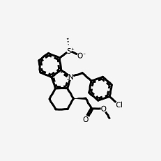 COC(=O)C[C@H]1CCCc2c1n(Cc1ccc(Cl)cc1)c1c([S@+](C)[O-])cccc21